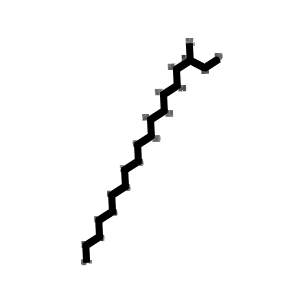 [CH2]CCCCCCCCCCCCCCCC([CH2])CC